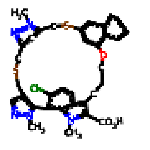 Cn1nc2cc1CSc1cc(c3ccccc3c1)OCCCc1c(C(=O)O)n(C)c3c(c(Cl)ccc13)-c1c(cnn1C)CSC2